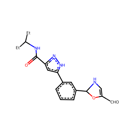 CCC(CC)NC(=O)c1cc(-c2cccc(C3NC=C(C=O)O3)c2)[nH]n1